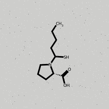 CCCCC(S)N1CCC[C@H]1C(=O)O